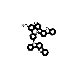 N#Cc1cc(C#N)cc(-c2ccc(-n3c4ccccc4c4c5oc6ccccc6c5ccc43)cc2-n2c3ccccc3c3c4oc5ccccc5c4ccc32)c1